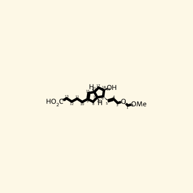 COCOC/C=C/[C@@H]1[C@H]2CC(CCCCC(=O)O)=C[C@H]2C[C@H]1O